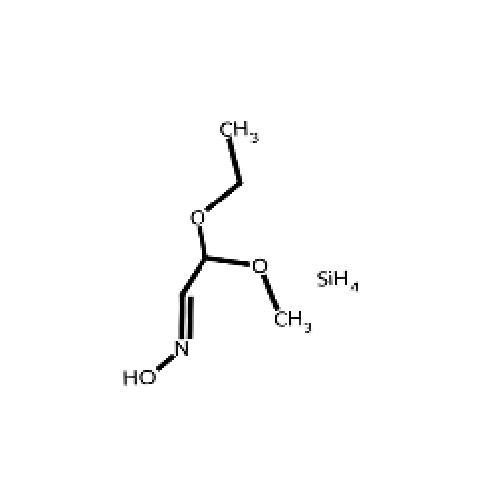 CCOC(C=NO)OC.[SiH4]